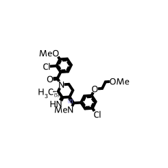 CN/C(=C1/CCN(C(=O)c2cccc(OC)c2Cl)[C@@H](C)C1=N)c1cc(Cl)cc(OCCOC)c1